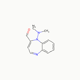 CN(C)N1C(C=O)=CC=Nc2ccccc21